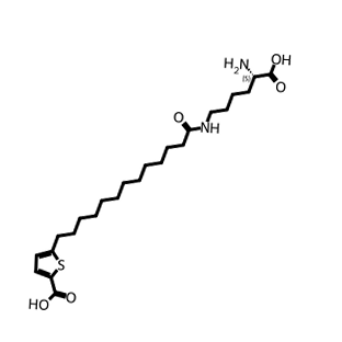 N[C@@H](CCCCNC(=O)CCCCCCCCCCCCc1ccc(C(=O)O)s1)C(=O)O